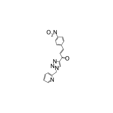 O=C(C=Cc1ccc([N+](=O)[O-])cc1)c1cn(Cc2ccccn2)nn1